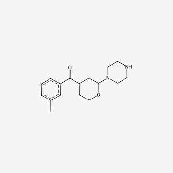 Cc1cccc(C(=O)C2CCOC(N3CCNCC3)C2)c1